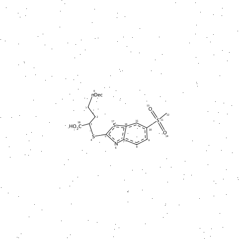 CCCCCCCCCCCCC(Sc1nc2ccc(S(C)(=O)=O)cc2s1)C(=O)O